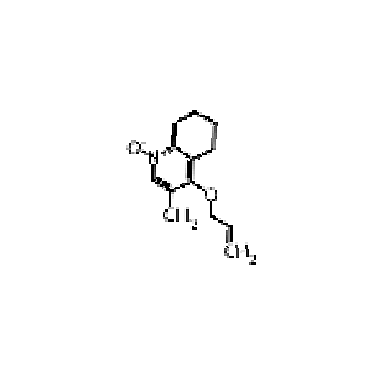 C=CCOc1c(C)c[n+]([O-])c2c1CCCC2